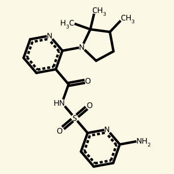 CC1CCN(c2ncccc2C(=O)NS(=O)(=O)c2cccc(N)n2)C1(C)C